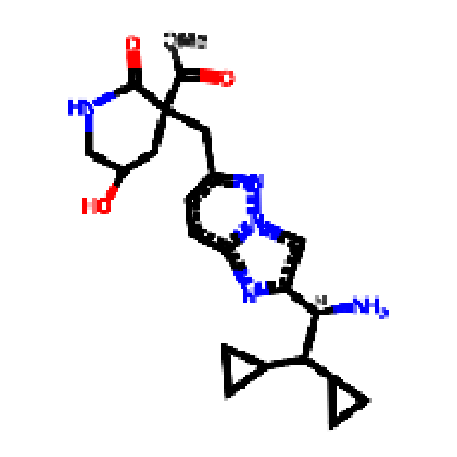 COC(=O)C1(Cc2ccc3nc([C@@H](N)C(C4CC4)C4CC4)cn3n2)CC(O)CNC1=O